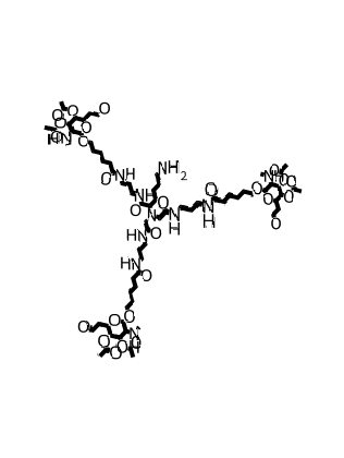 CNC1C(OCCCCCC(=O)NCCCNC(=O)CN(CC(=O)NCCCNC(=O)CCCCCOC2OC(CC=O)C(OC(C)=O)C(OC(C)=O)C2NC)C(CCCCN)C(=O)NCCCNC(=O)CCCCCOC2OC(CC=O)C(OC(C)=O)C(OC(C)=O)C2NC)OC(CC=O)C(OC(C)=O)C1OC(C)=O